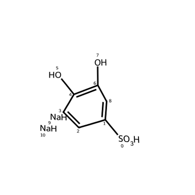 O=S(=O)(O)c1ccc(O)c(O)c1.[NaH].[NaH]